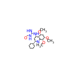 COc1cc(OC)c2c(NC(=N)NC=O)cc(-c3ccccc3)nc2c1OC